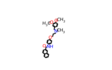 COc1ccc(CN(C)CCCOc2ccc(NC(=O)c3ccc4ccccc4c3)cc2)cc1OC